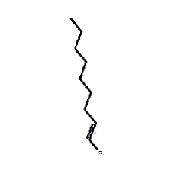 CCCCCCC/C=C/[P]